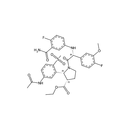 CCOC(=O)[C@H]1CCN(C(=O)[C@H](Nc2ccc(F)c(C(N)=O)c2)c2ccc(F)c(OC)c2)[C@H]1c1cc(NC(C)=O)ccc1S(C)(=O)=O